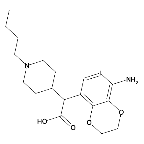 CCCCN1CCC(C(C(=O)O)C2=C3OCCOC3=C(N)I=C2)CC1